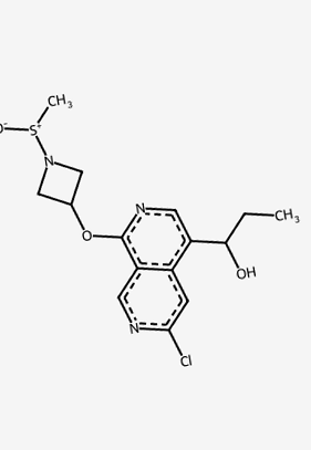 CCC(O)c1cnc(OC2CN([S+](C)[O-])C2)c2cnc(Cl)cc12